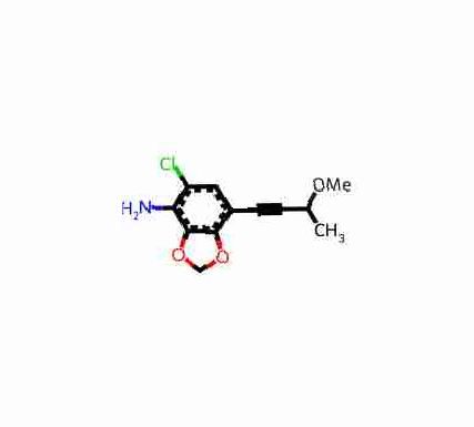 COC(C)C#Cc1cc(Cl)c(N)c2c1OCO2